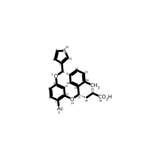 CC(=O)c1ccc(OCc2ccsc2)cc1O[C@@H](CCC(=O)O)c1ccccc1C